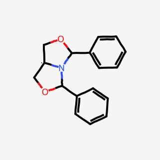 c1ccc(C2OC[C]3COC(c4ccccc4)N32)cc1